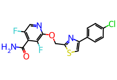 NC(=O)c1c(F)cnc(OCc2nc(-c3ccc(Cl)cc3)cs2)c1F